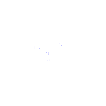 CC1=CC(c2nc(C)cs2)n2nc(C)cc2N1